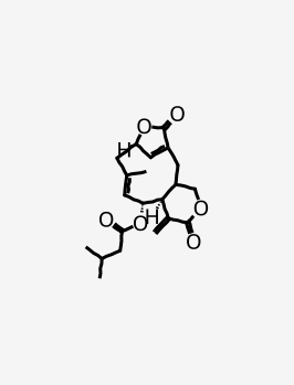 C=C1C(=O)OCC2CC3=C[C@@H](C/C(C)=C/[C@@H](OC(=O)CC(C)C)[C@H]12)OC3=O